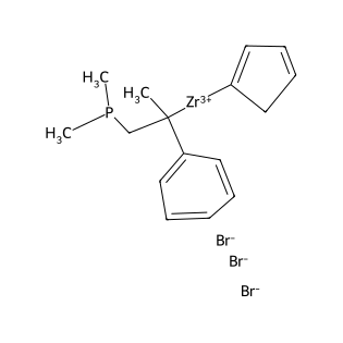 CP(C)C[C](C)([Zr+3][C]1=CC=CC1)c1ccccc1.[Br-].[Br-].[Br-]